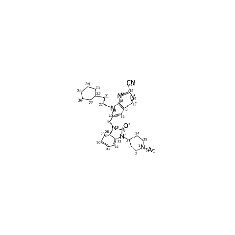 CC(=O)N1CCC(n2c(=O)n(Cc3cc4cnc(C#N)nc4n3CCC3CCCCC3)c3ccccc32)CC1